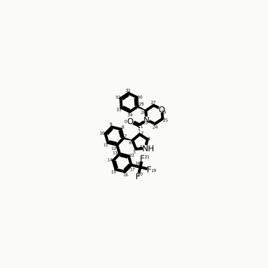 O=C([C@@H]1CNC[C@H]1c1ccccc1-c1cccc(C(F)(F)F)c1)N1CCOC[C@@H]1c1ccccc1